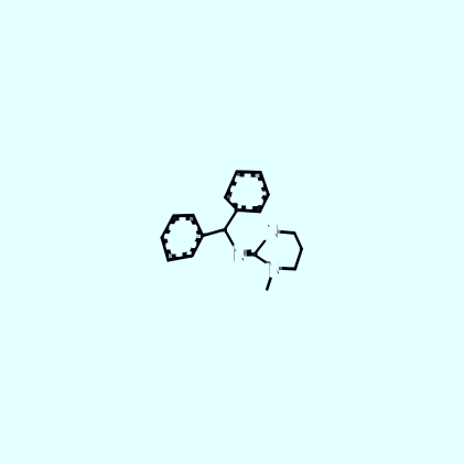 CN1CCCN(C)C1=NC(c1ccccc1)c1ccccc1